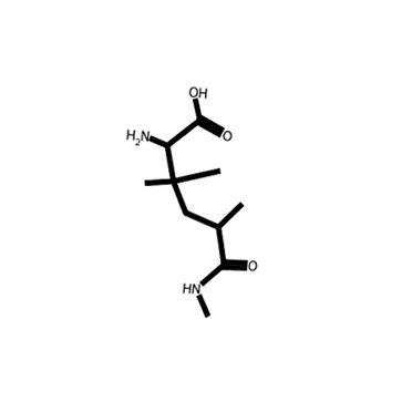 CNC(=O)C(C)CC(C)(C)C(N)C(=O)O